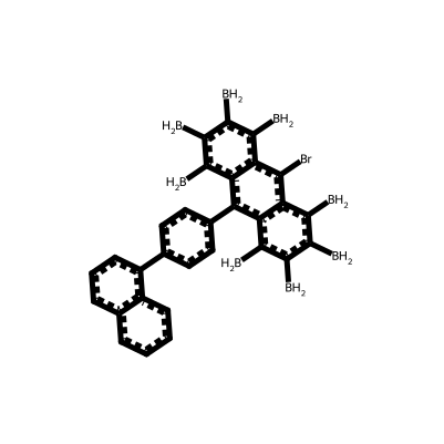 Bc1c(B)c(B)c2c(-c3ccc(-c4cccc5ccccc45)cc3)c3c(B)c(B)c(B)c(B)c3c(Br)c2c1B